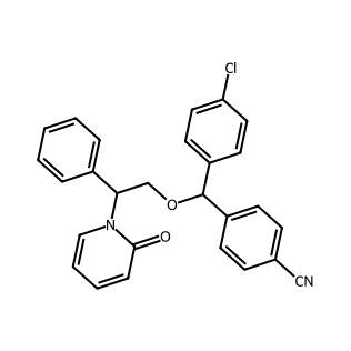 N#Cc1ccc(C(OCC(c2ccccc2)n2ccccc2=O)c2ccc(Cl)cc2)cc1